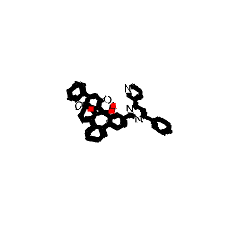 c1ccc(-c2cc(-c3cccnc3)nc(-c3ccc4c(c3)C3(c5ccccc5Oc5cc6c(cc53)oc3ccccc36)c3ccccc3-c3ccccc3-4)n2)cc1